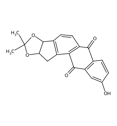 CC1(C)OC2Cc3c(ccc4c3C(=O)c3cc(O)ccc3C4=O)C2O1